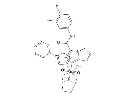 O=C(Nc1ccc(F)c(F)c1)c1c(Cl)c(S(=O)(=O)N2C3CCC2CC(O)(c2cc(-c4ccccc4)on2)C3)c2n1CC=C2